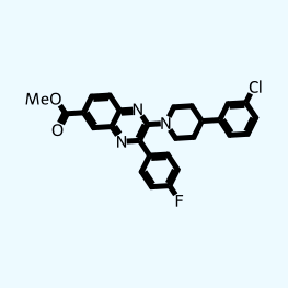 COC(=O)c1ccc2nc(N3CCC(c4cccc(Cl)c4)CC3)c(-c3ccc(F)cc3)nc2c1